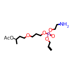 C=CCOP(=O)(OCCN)OCCCOCC[C@@H](C)OC(C)=O